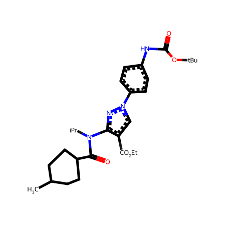 CCOC(=O)c1cn(-c2ccc(NC(=O)OC(C)(C)C)cc2)nc1N(C(=O)C1CCC(C)CC1)C(C)C